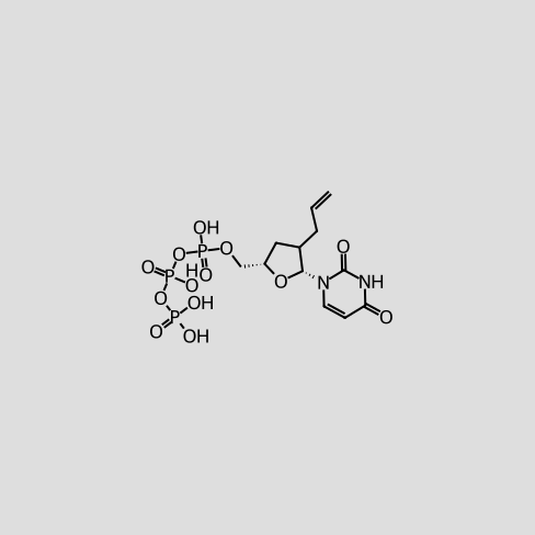 C=CCC1C[C@@H](COP(=O)(O)OP(=O)(O)OP(=O)(O)O)O[C@H]1n1ccc(=O)[nH]c1=O